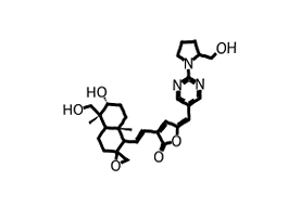 C[C@]12CC[C@@H](O)[C@@](C)(CO)C1CCC1(CO1)C2/C=C/C1=CC(=C\c2cnc(N3CCCC3CO)nc2)/OC1=O